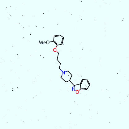 COc1ccc[c]c1OCCCCN1CCC(c2noc3ccccc23)CC1